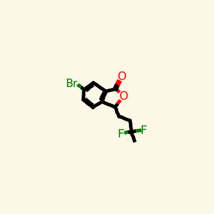 CC(F)(F)CCC1OC(=O)c2cc(Br)ccc21